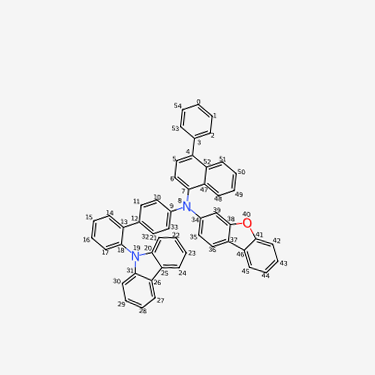 c1ccc(-c2ccc(N(c3ccc(-c4ccccc4-n4c5ccccc5c5ccccc54)cc3)c3ccc4c(c3)oc3ccccc34)c3ccccc23)cc1